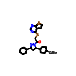 COc1ccc(C2CC(c3ccccc3)=NN2C(=O)CSc2ncnc3sccc23)cc1